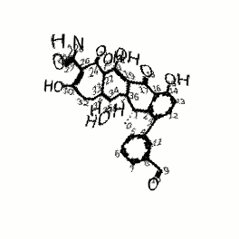 C[C@H]1c2c(-c3cccc(C=O)c3)ccc(O)c2C(=O)C2=C(O)[C@]3(O)C(=O)C(C(N)=O)=C(O)C[C@@H]3[C@@H](O)[C@@H]21